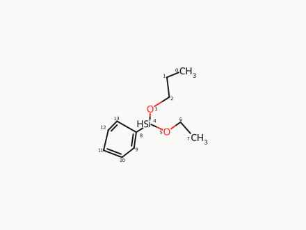 CCCO[SiH](OCC)c1ccccc1